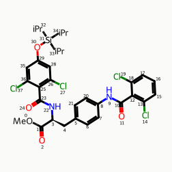 COC(=O)[C@H](Cc1ccc(NC(=O)c2c(Cl)cccc2Cl)cc1)NC(=O)c1c(Cl)cc(O[Si](C(C)C)(C(C)C)C(C)C)cc1Cl